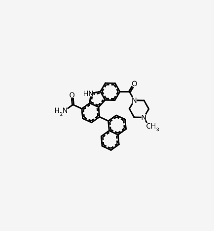 CN1CCN(C(=O)c2ccc3[nH]c4c(C(N)=O)ccc(-c5cccc6ccccc56)c4c3c2)CC1